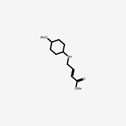 COC(=O)/C=C/CNC1CCC(OC)CC1